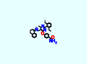 CCc1cccc(CC)c1-c1nc(C)c(CN(C)[C@H]2CCCc3ccccc32)c(Oc2ccc(C(N)=O)cc2)n1